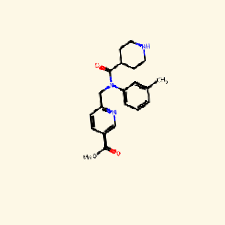 COC(=O)c1ccc(CN(C(=O)C2CCNCC2)c2cccc(C)c2)nc1